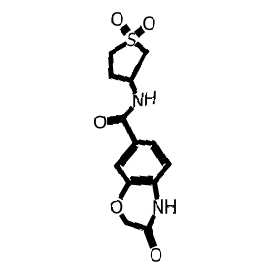 O=C1COc2cc(C(=O)NC3CCS(=O)(=O)C3)ccc2N1